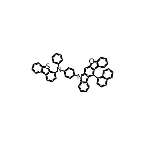 c1ccc(N(c2ccc(-n3c4ccccc4c4c(-c5cccc6ccccc56)c5c(cc43)oc3ccccc35)cc2)c2cccc3c2sc2ccccc23)cc1